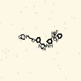 O=S(=O)(Nc1ccc(Nc2cc(-c3cccc(OCCCN4CCOCC4)c3)ncn2)cc1)c1c(F)cccc1F